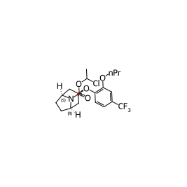 CCCOc1cc(C(F)(F)F)ccc1O[C@H]1C[C@H]2CC[C@@H](C1)N2C(=O)OC(C)Cl